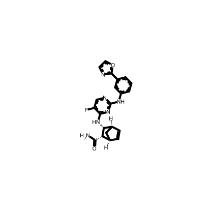 NC(=O)[C@@H]1[C@H](Nc2nc(Nc3cccc(-c4ncco4)c3)ncc2F)[C@H]2C=C[C@@H]1C2